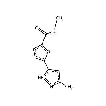 COC(=O)c1ccc(-c2cc(C)n[nH]2)o1